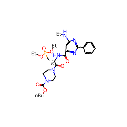 CCCCOC(=O)N1CCN(C(=O)[C@H](CP(=O)(OCC)OCC)NC(=O)c2cc(NCC)nc(-c3ccccc3)n2)CC1